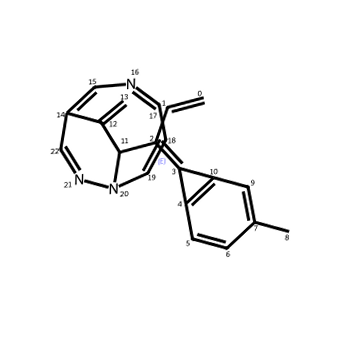 C=C/C(=C1/c2ccc(C)cc21)C1C(=C)c2cncccn1nc2